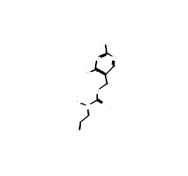 Cc1ncc(CNC(=O)N(N)CCI)c(N)n1